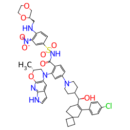 C[C@@H]1CN(c2cc(N3CCC([C@@H](O)C4=C(c5ccc(Cl)cc5)CC5(CCC5)CC4)CC3)ccc2C(=O)NS(=O)(=O)c2ccc(NC[C@@H]3COCCO3)c([N+](=O)[O-])c2)c2cc3cc[nH]c3nc2O1